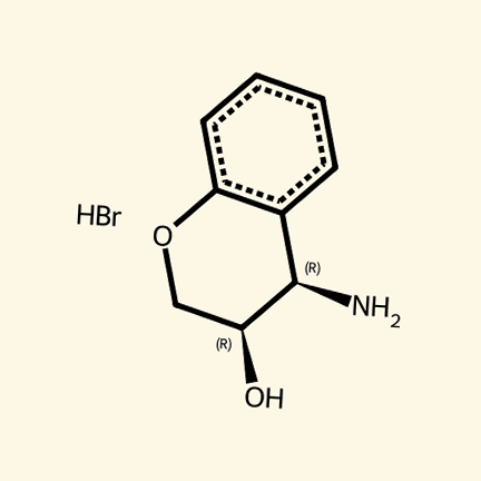 Br.N[C@@H]1c2ccccc2OC[C@@H]1O